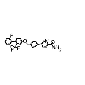 NC(=O)c1ccc(-c2ccc(COc3ccc(-c4ccccc4F)c(C(F)(F)F)c3)cc2)cn1